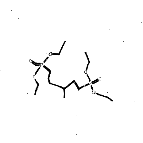 CCOP(=O)(CCC(C)CCP(=O)(OCC)OCC)OCC